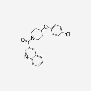 O=C(c1cnc2ccccc2c1)N1CCC(Oc2ccc(Cl)cc2)CC1